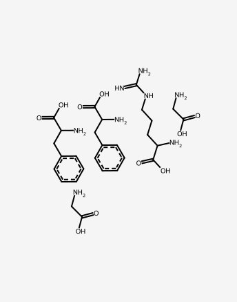 N=C(N)NCCCC(N)C(=O)O.NC(Cc1ccccc1)C(=O)O.NC(Cc1ccccc1)C(=O)O.NCC(=O)O.NCC(=O)O